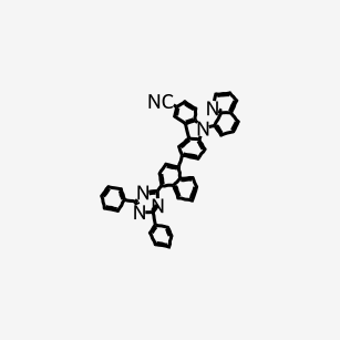 N#Cc1ccc2c(c1)c1cc(-c3ccc(-c4nc(-c5ccccc5)nc(-c5ccccc5)n4)c4ccccc34)ccc1n2-c1cccc2cccnc12